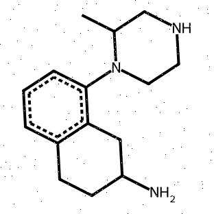 CC1CNCCN1c1cccc2c1CC(N)CC2